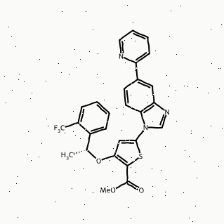 COC(=O)c1sc(-n2cnc3cc(-c4ccccn4)ccc32)cc1O[C@H](C)c1ccccc1C(F)(F)F